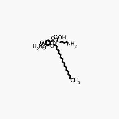 CCCCCCCCCCCCCCCCCC(=O)N(C(=O)c1ccc(S(N)(=O)=O)cc1)[C@@H](CCCCN)C(=O)O